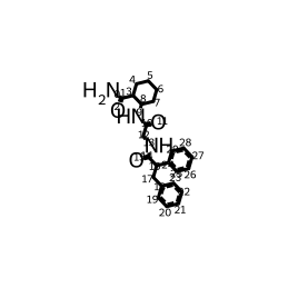 NC(=O)C1CCCCC1NC(=O)CNC(=O)C(Cc1ccccc1)c1ccccc1